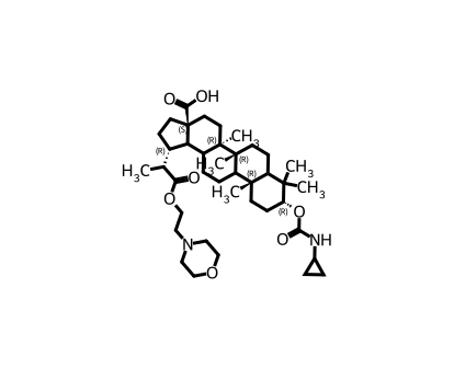 CC(C(=O)OCCN1CCOCC1)[C@@H]1CC[C@]2(C(=O)O)CC[C@]3(C)C(CCC4[C@@]5(C)CC[C@@H](OC(=O)NC6CC6)C(C)(C)C5CC[C@]43C)C12